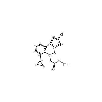 CC(C)(C)OC(=O)CN(Cc1cnc(Cl)s1)c1ncccc1C1CC1